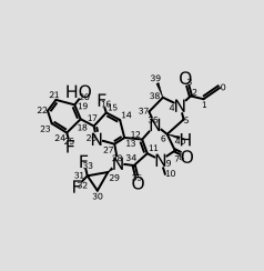 C=CC(=O)N1C[C@@H]2C(=O)N(C)c3c(c4cc(F)c(-c5c(O)cccc5F)nc4n([C@H]4CC4(F)F)c3=O)N2C[C@H]1C